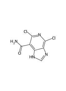 NC(=O)c1c(Cl)nc(Cl)c2nc[nH]c12